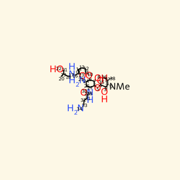 CN[C@@H]1[C@@H](O)[C@@H](O[C@@H]2[C@@H](O)[C@H](O[C@@H]3CCC=C(CNCC(C)CO)O3)[C@@H](N)C[C@H]2NC(=O)CCCN)OC[C@H]1C